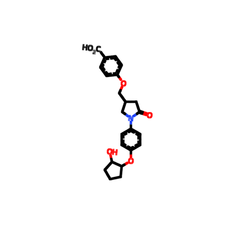 O=C(O)c1ccc(OCC2CC(=O)N(c3ccc(OC4CCCC4O)cc3)C2)cc1